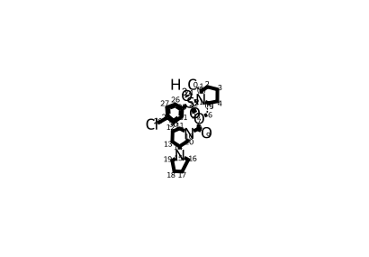 C[C@@H]1CCC[C@H](COC(=O)N2CCCC(N3CCCC3)C2)N1S(=O)(=O)c1ccc(Cl)cc1